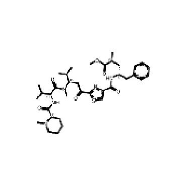 COC(=O)[C@@H](C)C[C@H](Cc1ccccc1)NC(=O)c1csc(C(=O)C[C@H](C(C)C)N(C)C(=O)[C@@H](NC(=O)[C@H]2CCCCN2C)C(C)C)n1